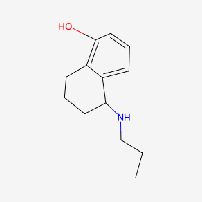 CCCNC1CCCc2c(O)cccc21